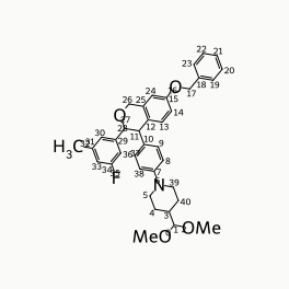 COC(OC)C1CCN(c2ccc(C3c4ccc(OCc5ccccc5)cc4COC3c3cc(C)cc(F)c3)cc2)CC1